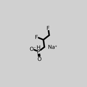 O=[PH]([O-])CC(F)CF.[Na+]